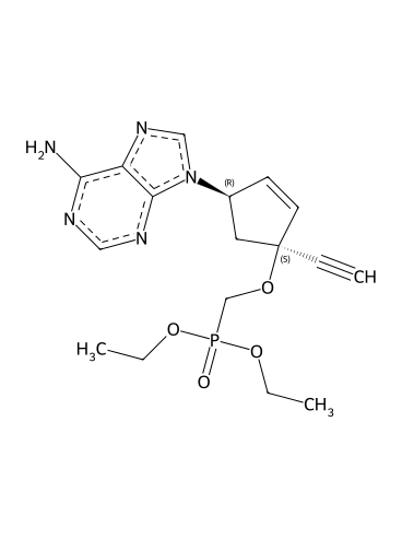 C#C[C@@]1(OCP(=O)(OCC)OCC)C=C[C@H](n2cnc3c(N)ncnc32)C1